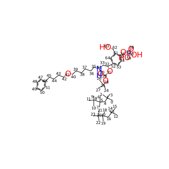 CC(C)(C)CC(C)(C)C(C)(C)C.CC(C)(C)CC(C)(C)C(C)(C)C.CC(C)(C)OC(=O)OC(CNCCCCCCOCCCCc1ccccc1)c1ccc(OP(=O)(O)O)c(CO)c1